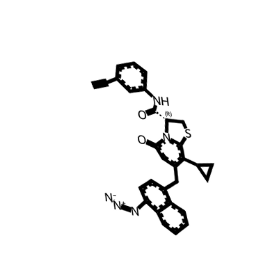 C#Cc1cccc(NC(=O)[C@@H]2CSc3c(C4CC4)c(Cc4ccc(N=[N+]=[N-])c5ccccc45)cc(=O)n32)c1